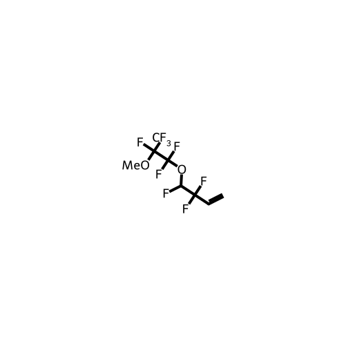 C=CC(F)(F)C(F)OC(F)(F)C(F)(OC)C(F)(F)F